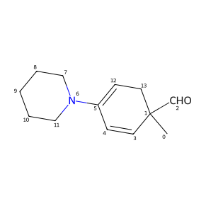 CC1(C=O)C=CC(N2CCCCC2)=CC1